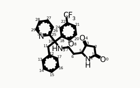 O=C1CC(=O)C(CC(=O)NC(Cc2ccccc2)(c2cccc(C(F)(F)F)c2)c2ccccn2)N1